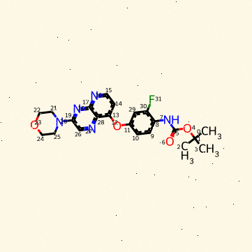 CC(C)(C)OC(=O)Nc1ccc(Oc2ccnc3nc(N4CCOCC4)cnc23)cc1F